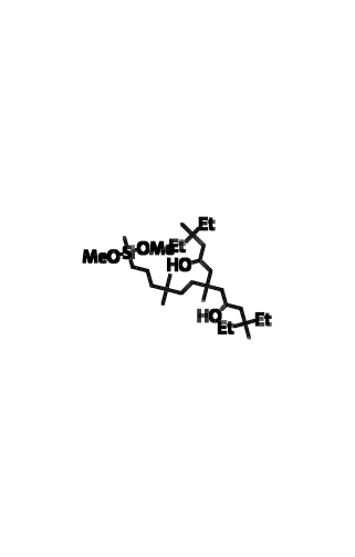 CCC(C)(CC)CC(O)CC(C)(CCC(C)(C)CCC[Si](C)(OC)OC)CC(O)CC(C)(CC)CC